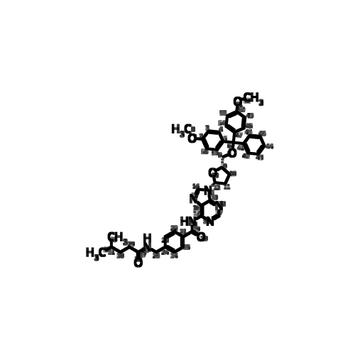 COc1ccc(C(OC[C@@H]2CC[C@H](n3cnc4c(NC(=O)c5ccc(CNC(=O)CCC(C)C)cc5)ncnc43)O2)(c2ccccc2)c2ccc(OC)cc2)cc1